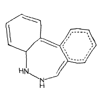 C1=CC2=c3ccccc3=CNNC2C=C1